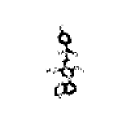 CC1CN(c2cccc3c2OCCO3)CC(C)N1CCNC(=O)c1ccc(F)cc1